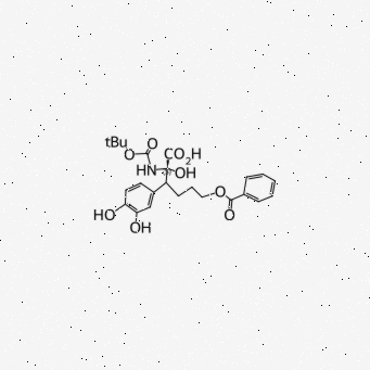 CC(C)(C)OC(=O)N[C@@](O)(C(=O)O)C(CCCOC(=O)c1ccccc1)c1ccc(O)c(O)c1